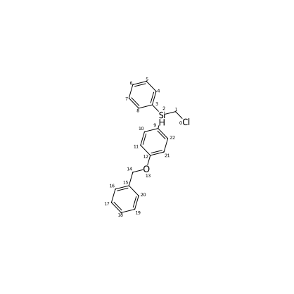 ClC[SiH](c1ccccc1)c1ccc(OCc2ccccc2)cc1